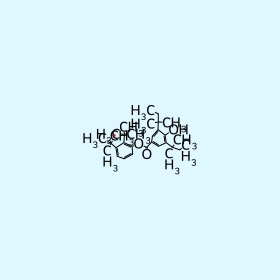 CCC(C)(C)c1cc(C(=O)Oc2cccc(C(C)(C)C)c2C(C)(C)C)cc(C(C)(C)CC)c1O